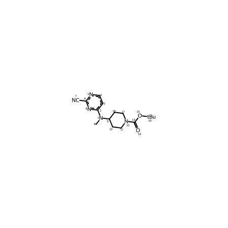 CN(c1ccnc(C#N)n1)C1CCN(C(=O)OC(C)(C)C)CC1